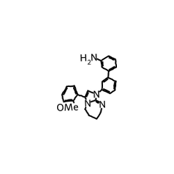 COc1ccccc1C1=CN(c2cccc(-c3cccc(N)c3)c2)C2=NCCCCN12